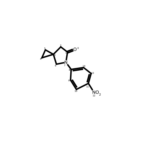 O=C1CC2(CC2)CN1c1ccc([N+](=O)[O-])cc1